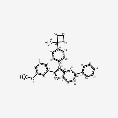 COc1cncc(-c2nc3cnc(-c4ccccc4)nc3n2-c2ccc(C3(N)CCC3)cc2)c1